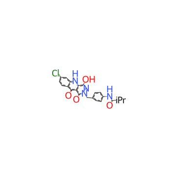 CC(C)C(=O)Nc1ccc(Cn2nc(O)c3[nH]c4cc(Cl)ccc4c(=O)c3c2=O)cc1